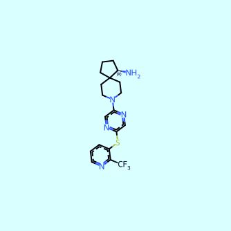 N[C@@H]1CCCC12CCN(c1cnc(Sc3cccnc3C(F)(F)F)cn1)CC2